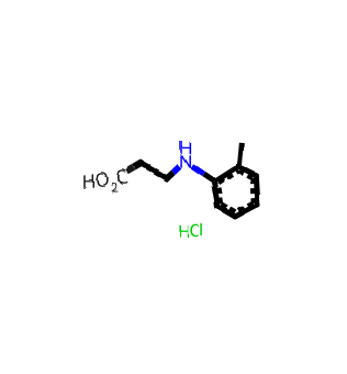 Cc1ccccc1NCCC(=O)O.Cl